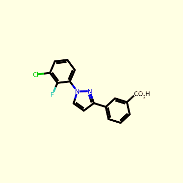 O=C(O)c1cccc(-c2ccn(-c3cccc(Cl)c3F)n2)c1